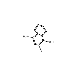 Nc1cc(I)c(S(=O)(=O)O)c2ccccc12